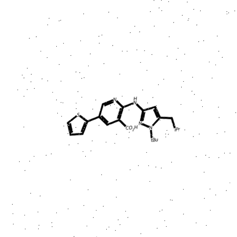 CC(C)Cc1cc(Nc2ncc(-c3cccs3)cc2C(=O)O)nn1C(C)(C)C